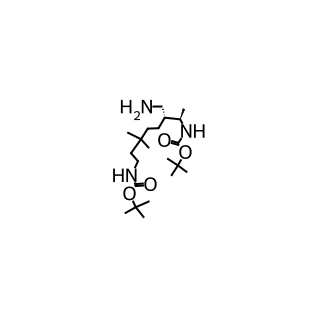 C[C@@H](NC(=O)OC(C)(C)C)[C@@H](CN)CCC(C)(C)CCNC(=O)OC(C)(C)C